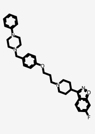 Fc1ccc2c(C3CCN(CCCOc4ccc(CN5CCN(c6ccccc6)CC5)cc4)CC3)noc2c1